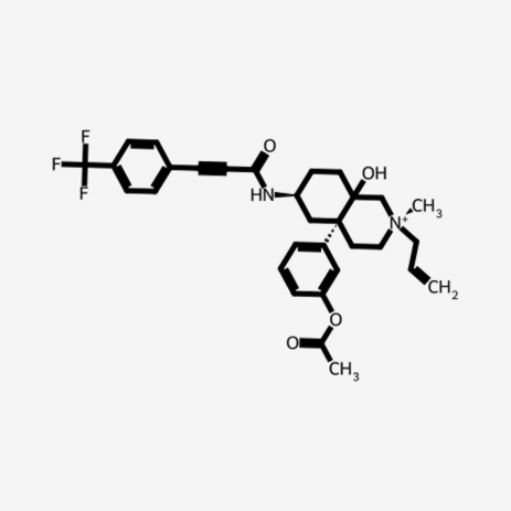 C=CC[N@@+]1(C)CC[C@@]2(c3cccc(OC(C)=O)c3)C[C@@H](NC(=O)C#Cc3ccc(C(F)(F)F)cc3)CCC2(O)C1